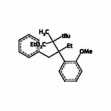 CCOC(=O)C(C)(C(C)(C)C)C(CC)(Cc1ccccc1)c1ccccc1OC